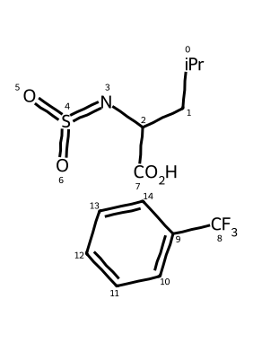 CC(C)CC(N=S(=O)=O)C(=O)O.FC(F)(F)c1ccccc1